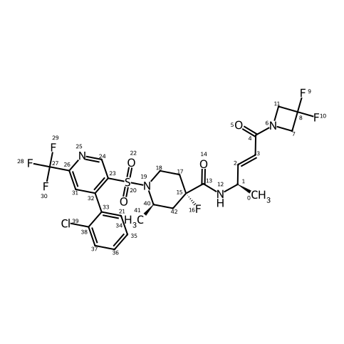 C[C@H](/C=C/C(=O)N1CC(F)(F)C1)NC(=O)[C@]1(F)CCN(S(=O)(=O)c2cnc(C(F)(F)F)cc2-c2ccccc2Cl)[C@H](C)C1